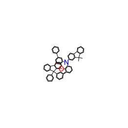 CC1(C)c2ccccc2-c2ccc(N(c3cccc(-c4ccccc4)c3)c3cccc4c3oc3c(C5(c6ccccc6)c6ccccc6-c6ccccc65)cccc34)cc21